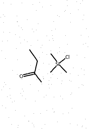 CCC(C)=O.C[Si](C)(C)Cl